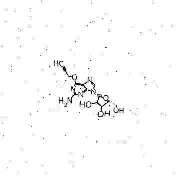 C#CCOc1nc(N)nc2c1ncn2[C@@H]1O[C@H](CO)C(O)C1O